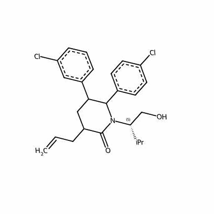 C=CCC1CC(c2cccc(Cl)c2)C(c2ccc(Cl)cc2)N([C@H](CO)C(C)C)C1=O